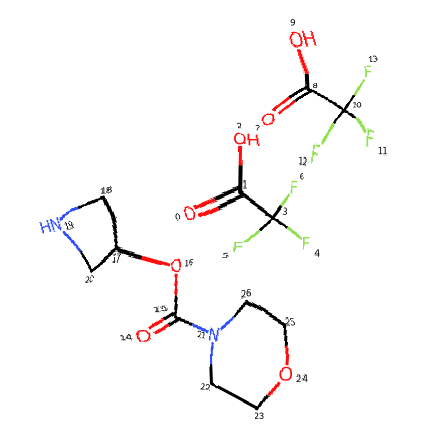 O=C(O)C(F)(F)F.O=C(O)C(F)(F)F.O=C(OC1CNC1)N1CCOCC1